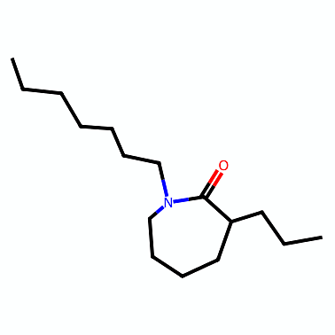 CCCCCCCN1CCCCC(CCC)C1=O